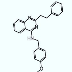 COc1ccc(CNc2nc(CCc3ccccc3)nc3ccccc23)cc1